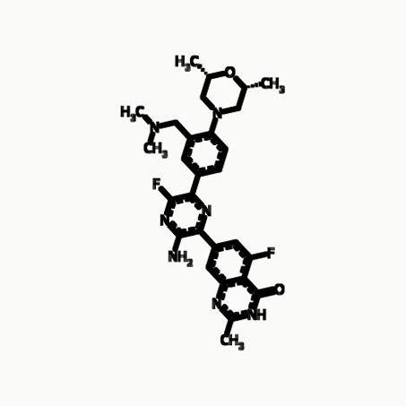 Cc1nc2cc(-c3nc(-c4ccc(N5C[C@@H](C)O[C@@H](C)C5)c(CN(C)C)c4)c(F)nc3N)cc(F)c2c(=O)[nH]1